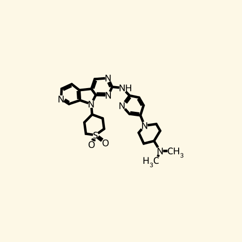 CN(C)C1CCN(c2ccc(Nc3ncc4c5ccncc5n(C5CCS(=O)(=O)CC5)c4n3)nc2)CC1